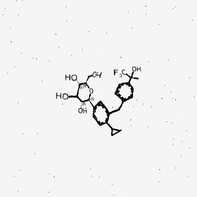 CC(O)(c1ccc(Cc2cc([C@@H]3O[C@H](CO)[C@@H](O)C(O)[C@H]3O)ccc2C2CC2)cc1)C(F)(F)F